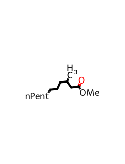 CCCCCCCCC(C)CC(=O)OC